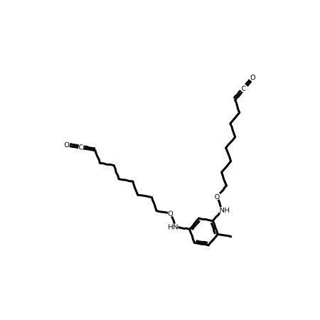 Cc1ccc(NOCCCCCCCC=C=O)cc1NOCCCCCCCC=C=O